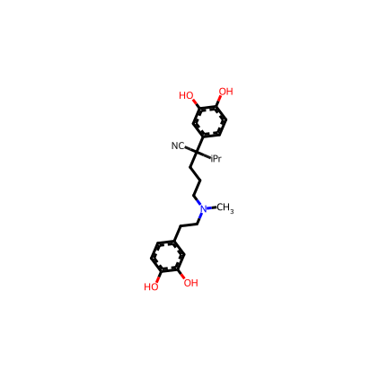 CC(C)C(C#N)(CCCN(C)CCc1ccc(O)c(O)c1)c1ccc(O)c(O)c1